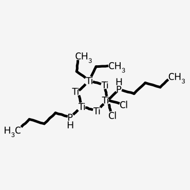 CCCC[PH][Ti]1[Ti][Ti]([CH2]C)([CH2]C)[Ti][Ti]([Cl])([Cl])([PH]CCCC)[Ti]1